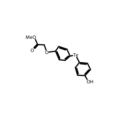 COC(=O)COc1ccc([Te]c2ccc(O)cc2)cc1